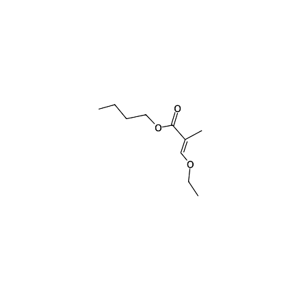 CCCCOC(=O)C(C)=COCC